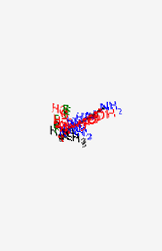 CC(C)(C)[C@H](c1cc(-c2cc(F)ccc2F)cn1Cc1ccccc1)N(CC[C@H](N)C(=O)NCCNC(=O)CCCC(=O)N[C@@H](CCCCN)C(=O)O)C(=O)CO.O=C(O)C(F)(F)F